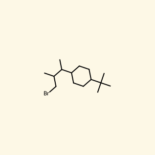 CC(CBr)C(C)C1CCC(C(C)(C)C)CC1